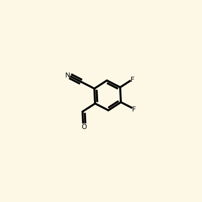 N#Cc1cc(F)c(F)cc1C=O